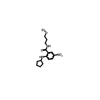 CCOCCCNC(=O)c1cc([N+](=O)[O-])ccc1NC1CCCC1